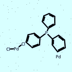 [Cl][Pd][Cl].[Pd].c1ccc(P(c2ccccc2)c2ccccc2)cc1